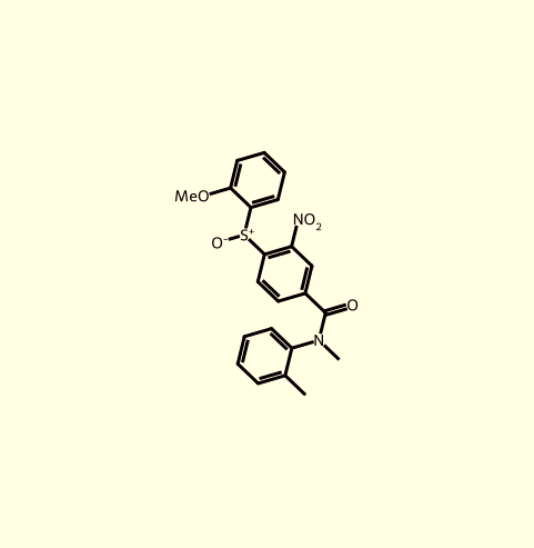 COc1ccccc1[S+]([O-])c1ccc(C(=O)N(C)c2ccccc2C)cc1[N+](=O)[O-]